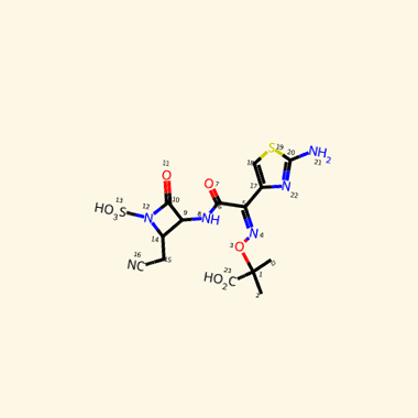 CC(C)(ON=C(C(=O)NC1C(=O)N(S(=O)(=O)O)C1CC#N)c1csc(N)n1)C(=O)O